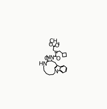 COC(=O)C[C@@H](CC1CCC1)C(=O)NC1Cc2cn(c3ccccc23)CCCCCNC1=O